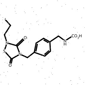 O=C(O)NCc1ccc(Cn2c(=O)sn(CCI)c2=O)cc1